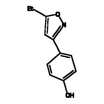 CCc1cc(-c2ccc(O)cc2)no1